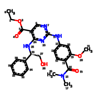 CCOC(=O)c1cnc(Nc2ccc(C(=O)N(C)C)c(OC)c2)nc1N[C@H](CO)c1ccccc1